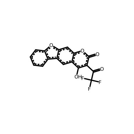 O=C(c1c(O)c2cc3c(cc2oc1=O)oc1ccccc13)C(F)(F)F